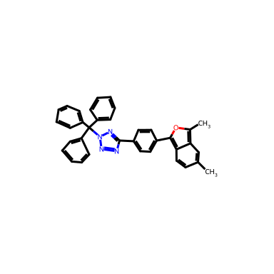 Cc1ccc2c(-c3ccc(-c4nnn(C(c5ccccc5)(c5ccccc5)c5ccccc5)n4)cc3)oc(C)c2c1